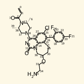 C=CC(=O)N1[C@H](C)CN(c2nc(=O)n3c4c(c(-c5ccc(F)cc5F)c(Cl)cc24)SCC(OCCN)C3)C[C@@H]1C